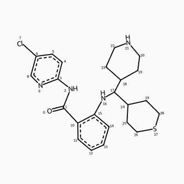 O=C(Nc1ccc(Cl)cn1)c1ccccc1NC(C1CCNCC1)C1CCSCC1